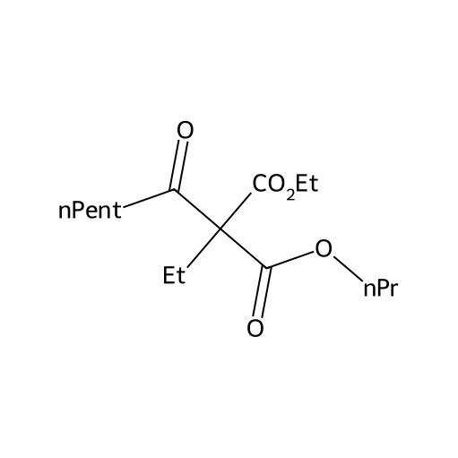 CCCCCC(=O)C(CC)(C(=O)OCC)C(=O)OCCC